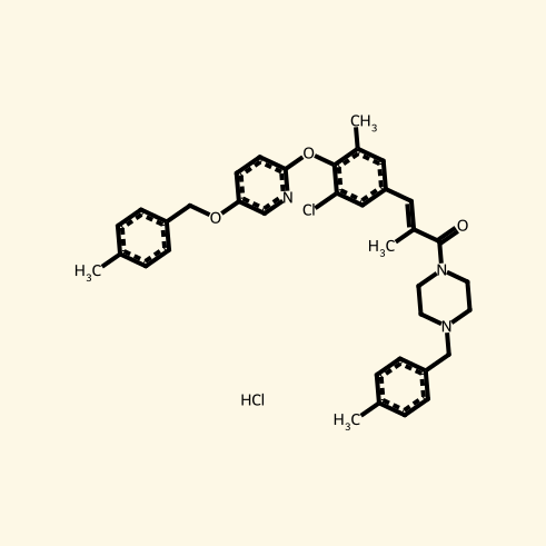 C/C(=C\c1cc(C)c(Oc2ccc(OCc3ccc(C)cc3)cn2)c(Cl)c1)C(=O)N1CCN(Cc2ccc(C)cc2)CC1.Cl